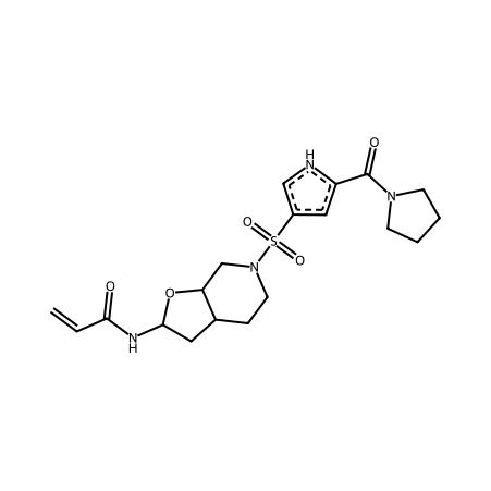 C=CC(=O)NC1CC2CCN(S(=O)(=O)c3c[nH]c(C(=O)N4CCCC4)c3)CC2O1